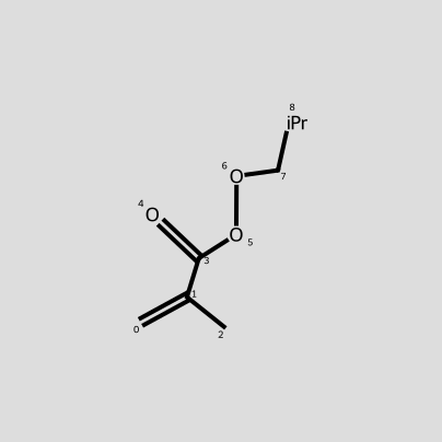 C=C(C)C(=O)OOCC(C)C